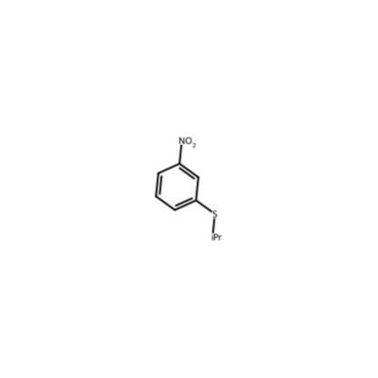 CC(C)Sc1cccc([N+](=O)[O-])c1